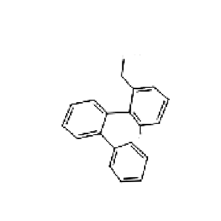 CCCCCCCCCCCc1cccc(O)c1-c1ccccc1-c1ccccc1